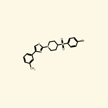 Cc1cccc(-c2csc(N3CCC(S(=O)(=O)c4ccc(Br)cc4)CC3)n2)c1